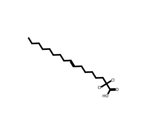 CCCCCCCC/C=C/CCCCCC(Cl)(Cl)C(=O)O